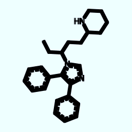 CCC(CCC1CCCCN1)n1cnc(-c2ccccc2)c1-c1ccccc1